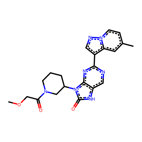 COCC(=O)N1CCCC(n2c(=O)[nH]c3cnc(-c4cnn5ccc(C)cc45)nc32)C1